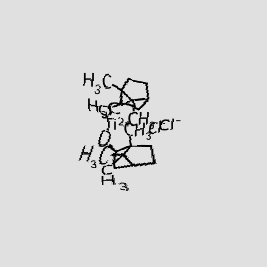 CC1(C)C2CCC1(C)C([O][Ti+2][O]C1CC3CCC1(C)C3(C)C)C2.[Cl-].[Cl-]